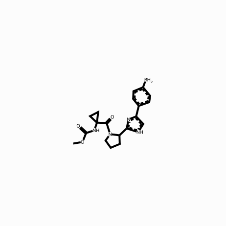 Bc1ccc(-c2c[nH]c(C3CCCN3C(=O)C3(NC(=O)OC)CC3)n2)cc1